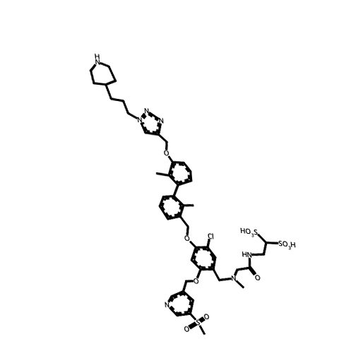 Cc1c(COc2cc(OCc3cncc(S(C)(=O)=O)c3)c(CN(C)CC(=O)NCC(S(=O)(=O)O)S(=O)(=O)O)cc2Cl)cccc1-c1cccc(OCc2cn(CCCC3CCNCC3)nn2)c1C